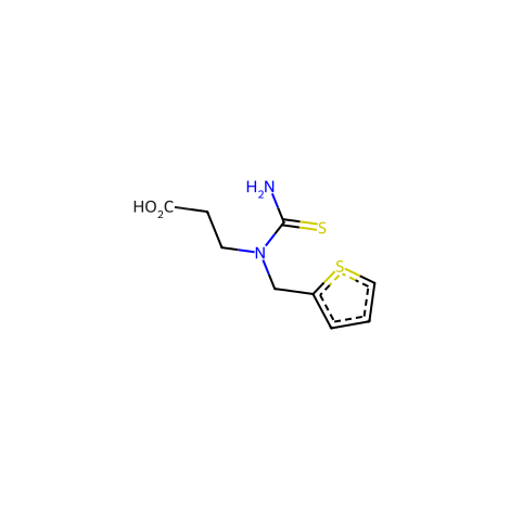 NC(=S)N(CCC(=O)O)Cc1cccs1